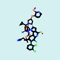 COc1ncccc1O[C@H]1C[C@H](c2cc3c(SC)nc4c(F)c(-c5cccc(Cl)c5Cl)c(CCC#N)cc4c3n2[C@H]2[C@@H]3C[C@H]2N(C(=O)OC(C)(C)C)C3)N(C(=O)C2CC2)C1